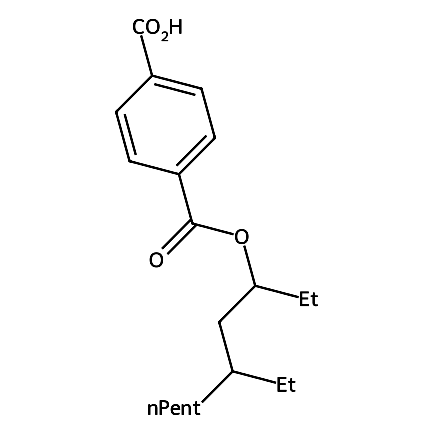 CCCCCC(CC)CC(CC)OC(=O)c1ccc(C(=O)O)cc1